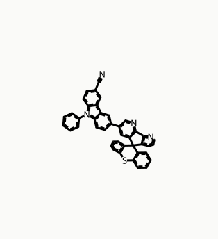 N#Cc1ccc2c(c1)c1cc(-c3cnc4c(c3)C3(c5ccccc5Sc5ccccc53)c3cccnc3-4)ccc1n2-c1ccccc1